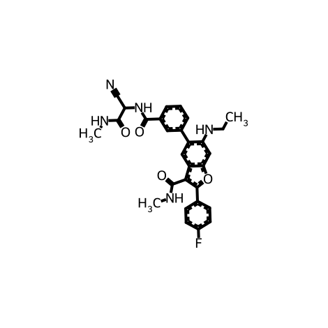 CCNc1cc2oc(-c3ccc(F)cc3)c(C(=O)NC)c2cc1-c1cccc(C(=O)NC(C#N)C(=O)NC)c1